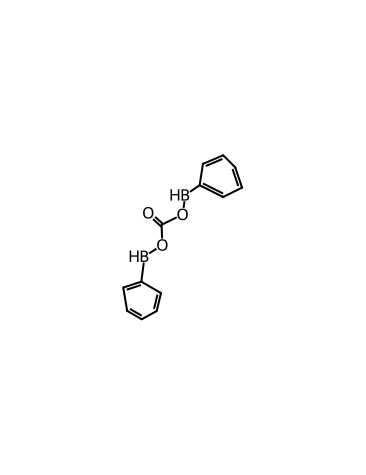 O=C(OBc1ccccc1)OBc1ccccc1